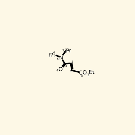 CCOC(=O)/C=C/C(=O)N(C(C)C)C(C)C